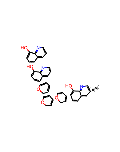 C1=CCOC=C1.C1=CCOC=C1.C1=CCOC=C1.Oc1cccc2cccnc12.Oc1cccc2cccnc12.Oc1cccc2cccnc12.[Al].[Al]